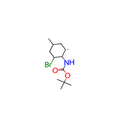 CC1C[CH]C(NC(=O)OC(C)(C)C)C(Br)C1